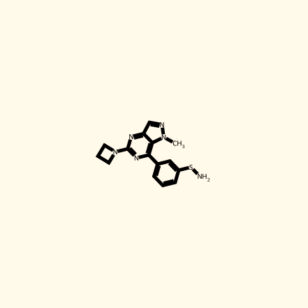 Cn1ncc2nc(N3CCC3)nc(-c3cccc(SN)c3)c21